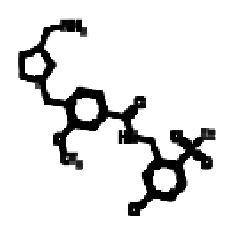 CCS(=O)(=O)c1ccc(Cl)cc1CNC(=O)c1ccc(CN2CCC(CN)C2)c(OC(F)(F)F)c1